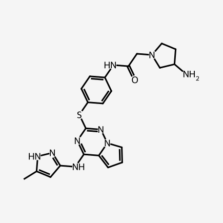 Cc1cc(Nc2nc(Sc3ccc(NC(=O)CN4CCC(N)C4)cc3)nn3cccc23)n[nH]1